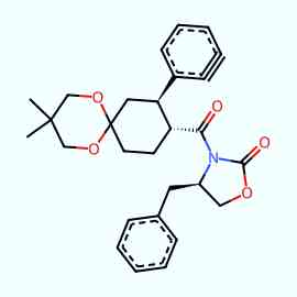 CC1(C)COC2(CC[C@@H](C(=O)N3C(=O)OC[C@H]3Cc3ccccc3)[C@H](c3c#cccc3)C2)OC1